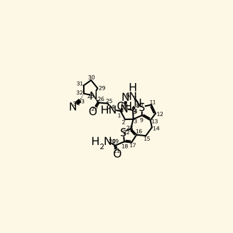 C[C@H](CC1(c2nn[nH]n2)c2sccc2CCc2cc(C(N)=O)sc21)NCC(=O)N1CCC[C@H]1C#N